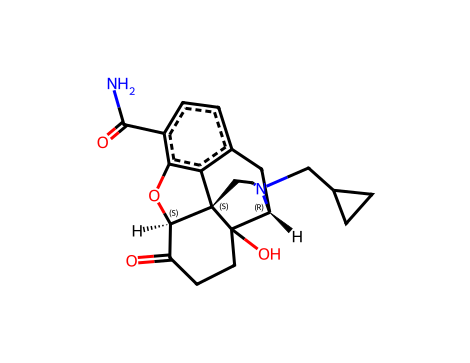 NC(=O)c1ccc2c3c1O[C@@H]1C(=O)CCC4(O)[C@@H](C2)N(CC2CC2)CC[C@]314